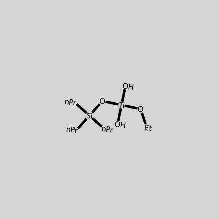 CCC[Si](CCC)(CCC)[O][Ti]([OH])([OH])[O]CC